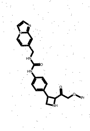 CC(C)OCC(=O)C1NCC1c1ccc(NC(=O)NCc2ccn3ccnc3c2)cc1